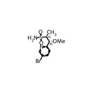 CO[C@H](c1ccc(Br)cn1)[C@H](C)S(N)(=O)=O